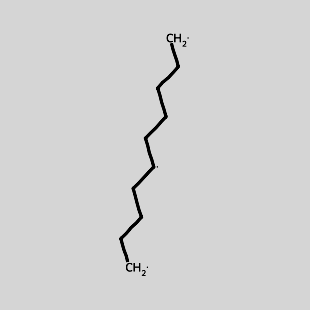 [CH2]CCC[CH]CCCC[CH2]